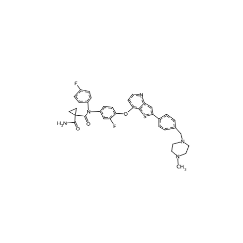 CN1CCN(Cc2ccc(-c3cc4nccc(Oc5ccc(N(C(=O)C6(C(N)=O)CC6)c6ccc(F)cc6)cc5F)c4s3)cc2)CC1